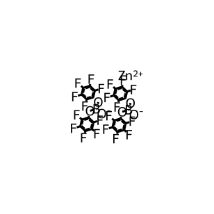 [O-]B(Oc1c(F)c(F)c(F)c(F)c1F)Oc1c(F)c(F)c(F)c(F)c1F.[O-]B(Oc1c(F)c(F)c(F)c(F)c1F)Oc1c(F)c(F)c(F)c(F)c1F.[Zn+2]